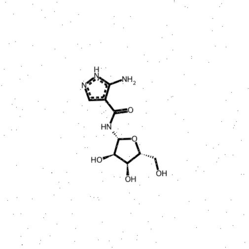 Nc1[nH]ncc1C(=O)N[C@@H]1O[C@H](CO)[C@@H](O)[C@H]1O